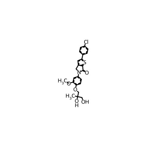 COc1cc(N2Cc3cc(-c4ccc(Cl)cc4)sc3C2=O)ccc1OCC(C)(O)CO